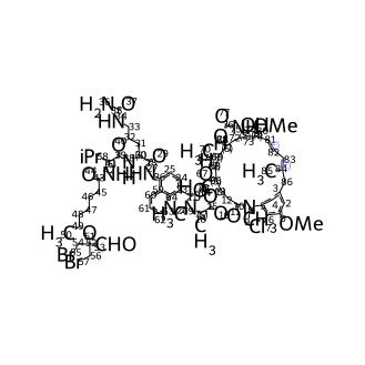 COc1cc2cc(c1Cl)N(C)C(=O)C[C@H](OC(=O)[C@H](C)N(C)C(=O)c1ccc(NC(=O)[C@H](CCCNC(N)=O)NC(=O)[C@@H](NC(=O)CCCCC(C)OC(C=O)(CBr)CBr)C(C)C)c3cccnc13)[C@]1(C)O[C@H]1[C@H](C)[C@@H]1C[C@@](O)(NC(=O)O1)[C@H](OC)/C=C/C=C(\C)C2